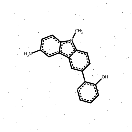 Cn1c2ccc(N)cc2c2cc(-c3ccccc3O)ccc21